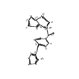 CC(c1ccc(-c2ccccc2)nc1)n1cnc2ccccc21